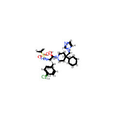 CC(C)S(=O)(=O)N[C@@H](Cc1ccc(Cl)cc1)C(=O)N1CCC(Cn2ccnc2)(C2CCCCC2)CC1